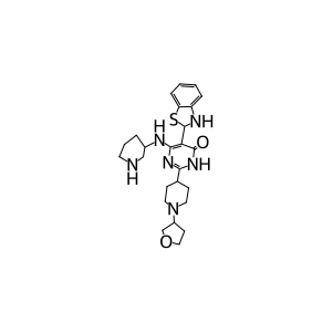 O=c1[nH]c(C2CCN(C3CCOC3)CC2)nc(NC2CCCNC2)c1C1Nc2ccccc2S1